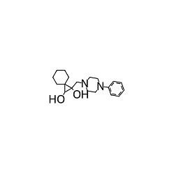 OC1C(O)(CN2CCN(c3ccccc3)CC2)C12CCCCC2